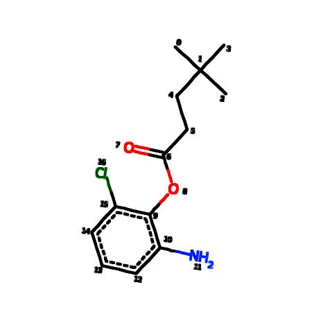 CC(C)(C)CCC(=O)Oc1c(N)cccc1Cl